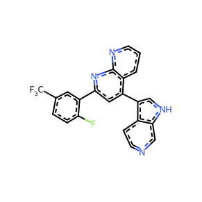 Fc1ccc(C(F)(F)F)cc1-c1cc(-c2c[nH]c3cnccc23)c2cccnc2n1